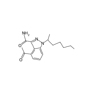 CCCCCC(C)n1nc(C(N)=O)c2c(C(C)=O)cccc21